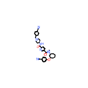 CN(C(=O)c1ccc(C(=O)NC2CCN(Cc3ccc(C#N)cc3)CC2)nc1)[C@@H]1CCCC[C@@H](Oc2ccc(C#N)cc2)C1